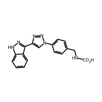 O=C(O)NCc1ccc(-n2cc(-c3n[nH]c4ccccc34)nn2)cc1